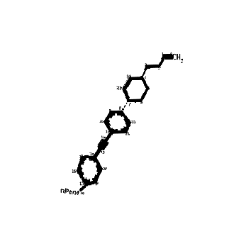 C=CCC[C@H]1CC[C@H](c2ccc(C#Cc3ccc(CCCCC)cc3)cc2)CC1